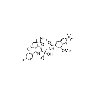 COc1cc(C(=O)NCC(O)(c2cc3c(c(-c4ccc(F)cc4Cl)n2)OC[C@]3(C)C(N)=O)C2CC2)cc2cn(C3(Cl)CC3)nc12